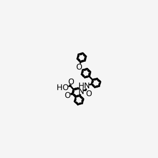 O=C(O)c1cn(C(=O)Nc2ccccc2-c2ccc(Oc3ccccc3)cc2)c2ccccc2c1=O